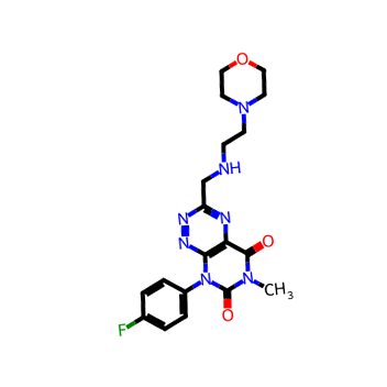 Cn1c(=O)c2nc(CNCCN3CCOCC3)nnc2n(-c2ccc(F)cc2)c1=O